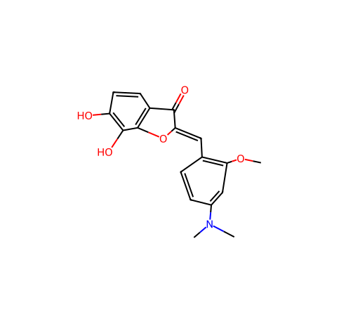 COc1cc(N(C)C)ccc1C=C1Oc2c(ccc(O)c2O)C1=O